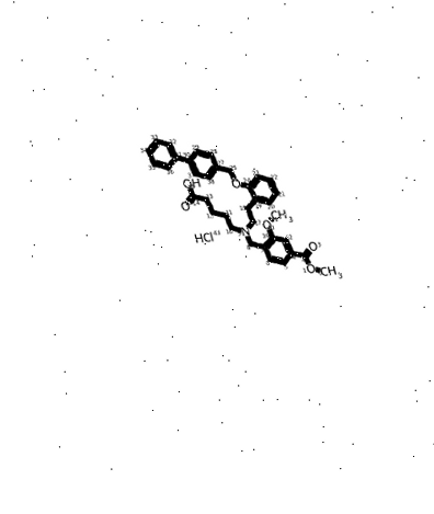 COC(=O)c1ccc(CN(CCCCC(=O)O)CCc2ccccc2OCc2ccc(-c3ccccc3)cc2)c(OC)c1.Cl